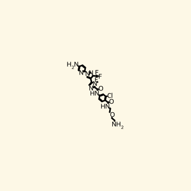 Cn1c(-c2cn(-c3ccc(N)cn3)nc2C(F)(F)F)cnc1C(=O)Nc1ccc(C(=O)NCCOCCN)c(Cl)c1